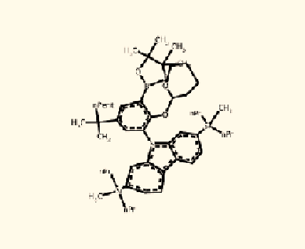 CCCCCC(C)(C)c1cc(B2OC(C)(C)C(C)(C)O2)c(OC2CCCCO2)c(-n2c3cc([Si](C)(CCC)CCC)ccc3c3ccc([Si](C)(CCC)CCC)cc32)c1